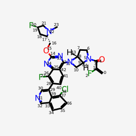 C=C(F)C(=O)N1CC[C@@H]2[C@H]1CN2c1nc(OC[C@@H]2C[C@@H](F)CN2C)nc2c(F)c(-c3cncc4cccc(Cl)c34)ccc12